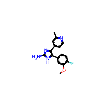 COc1cc(-c2[nH]c(N)nc2-c2ccnc(C)c2)ccc1F